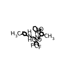 CCc1cccc(CNCC[C@@](O)(Cc2cc(F)cc(F)c2)NC(=O)c2cc(C)cc(C(=O)N3CCCCCC3)c2)c1